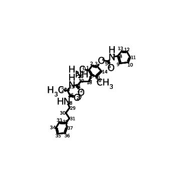 Cc1cc(OC(=O)Nc2ccccc2)cc(C)c1C[C@@H](N)C(=O)N[C@H](C)C(=O)NCCCc1ccccc1